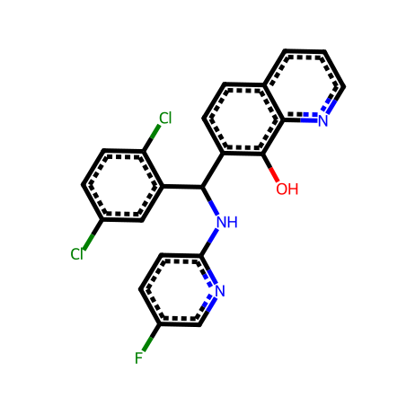 Oc1c(C(Nc2ccc(F)cn2)c2cc(Cl)ccc2Cl)ccc2cccnc12